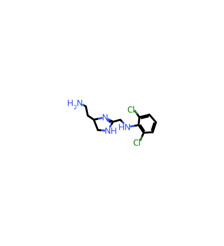 NCCC1CNC(CNc2c(Cl)cccc2Cl)=N1